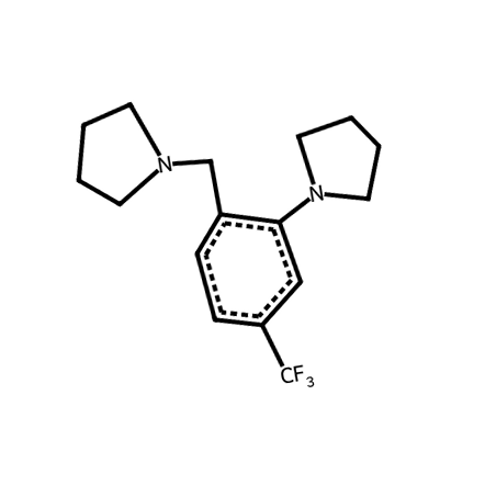 FC(F)(F)c1ccc(CN2CCCC2)c(N2CCCC2)c1